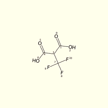 O=C(O)C(C(=O)O)C(F)(F)F